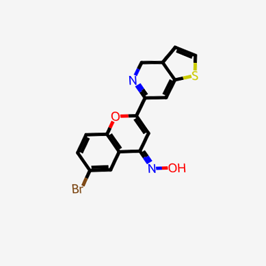 ON=c1cc(C2=NCC3C=CSC3=C2)oc2ccc(Br)cc12